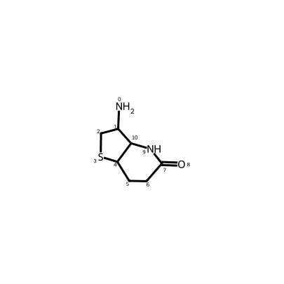 NC1CSC2CCC(=O)NC12